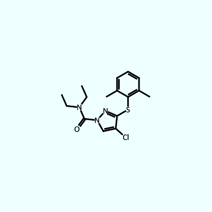 CCN(CC)C(=O)n1cc(Cl)c(Sc2c(C)cccc2C)n1